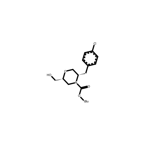 CC(C)(C)OC(=O)N1C[C@H](CO)OC[C@@H]1Cc1ccc(Cl)cc1